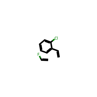 C=CF.C=Cc1ccccc1Cl